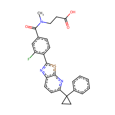 CN(CCC(=O)O)C(=O)c1ccc(-c2nc3ccc(C4(c5ccccc5)CC4)nc3s2)c(F)c1